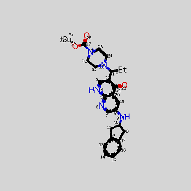 CCC(c1c[nH]c2ncc(NC3Cc4ccccc4C3)cc2c1=O)N1CCN(C(=O)OC(C)(C)C)CC1